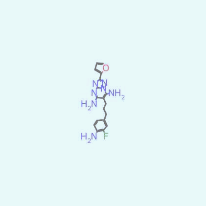 Nc1ccc(CCCc2c(N)nc3nc(-c4ccco4)nn3c2N)cc1F